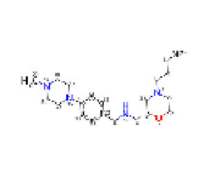 CC(C)CCCN1CCO[C@H](CNCc2ccc(N3CCN(C)CC3)cc2)C1